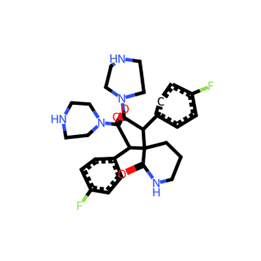 O=C(C(c1ccc(F)cc1)C1(C(C(=O)N2CCNCC2)c2ccc(F)cc2)CCCNC1=O)N1CCNCC1